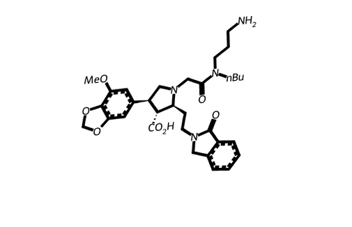 CCCCN(CCCN)C(=O)CN1C[C@H](c2cc(OC)c3c(c2)OCO3)[C@@H](C(=O)O)[C@@H]1CCN1Cc2ccccc2C1=O